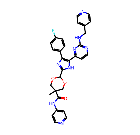 CC1(C(=O)Nc2ccncc2)COC(c2nc(-c3ccc(F)cc3)c(-c3ccnc(NCc4ccncc4)n3)[nH]2)OC1